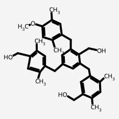 COc1cc(C)c(Cc2cc(Cc3cc(C)c(CO)cc3C)cc(Cc3cc(CO)c(C)cc3C)c2CO)cc1C